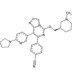 CN1CCC[C@@H](COc2nc(-c3ccc(C#N)cc3)c(-c3ccc(N4CCCC4)nc3)c3nccn23)C1